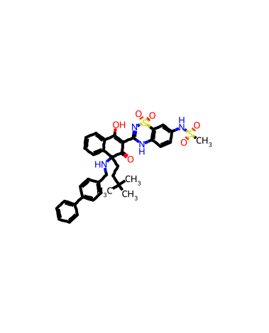 CC(C)(C)CCC1(NCc2ccc(-c3ccccc3)cc2)C(=O)C(C2=NS(=O)(=O)c3cc(NS(C)(=O)=O)ccc3N2)=C(O)c2ccccc21